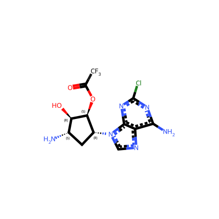 Nc1nc(Cl)nc2c1ncn2[C@@H]1C[C@H](N)[C@@H](O)[C@H]1OC(=O)C(F)(F)F